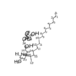 CCCCCCCCCCCCCCCCC(C)C(N)(CCO)CCO.COS(=O)(=O)O